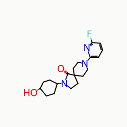 O=C1N(C2CCC(O)CC2)CCC12CCN(c1cccc(F)n1)CC2